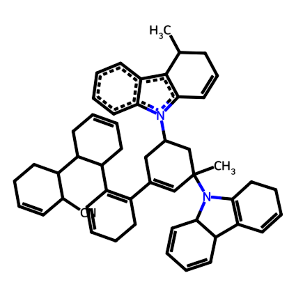 CC1CC=Cc2c1c1ccccc1n2C1CC(C2=C(C3CC=CCC3C3CCC=CC3C#N)C=CCC2)=CC(C)(N2C3=C(C=CCC3)C3C=CC=CC32)C1